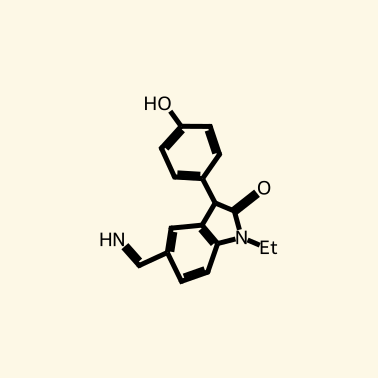 CCN1C(=O)C(c2ccc(O)cc2)c2cc(C=N)ccc21